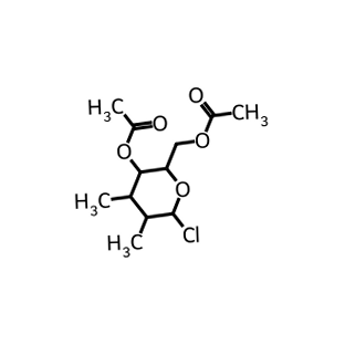 CC(=O)OCC1OC(Cl)C(C)C(C)C1OC(C)=O